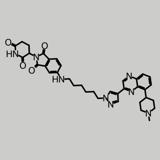 CN1CCC(c2cccc3ncc(-c4cnn(CCCCCCNc5ccc6c(c5)C(=O)N(C5CCC(=O)NC5=O)C6=O)c4)nc23)CC1